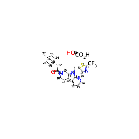 Cc1nc(C(F)(F)F)sc1Cn1c2c(c3cccnc31)CCN(C(=O)C[C@H]1CC[C@@H](C)CC1)C2.O=C(O)O